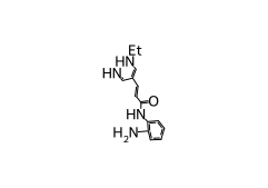 CCN/C=C(C=N)/C=C/C(=O)Nc1ccccc1N